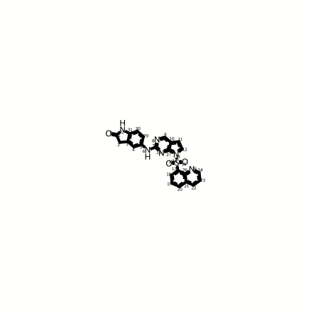 O=C1Cc2cc(Nc3ncc4ccn(S(=O)(=O)c5cccc6cccnc56)c4n3)ccc2N1